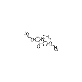 Cn1c2ccc(OCCN3CCC3)cc2c(=O)c2ccc(OCCN3CCC3)cc21